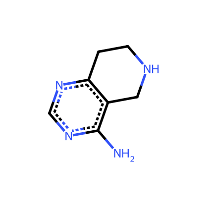 Nc1ncnc2c1CNCC2